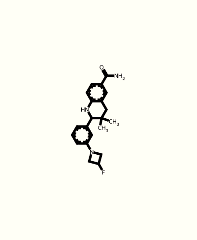 CC1(C)Cc2cc(C(N)=O)ccc2NC1c1cccc(N2CC(F)C2)c1